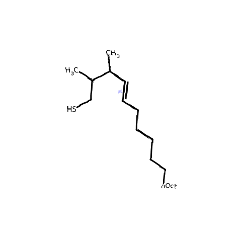 CCCCCCCCCCCCC/C=C/C(C)C(C)CS